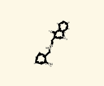 O=c1c(/C=N/NCc2ccccc2O)coc2ccccc12